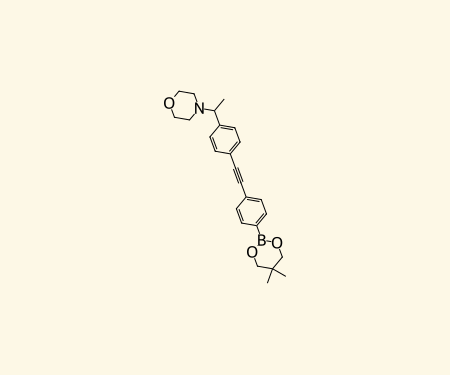 CC(c1ccc(C#Cc2ccc(B3OCC(C)(C)CO3)cc2)cc1)N1CCOCC1